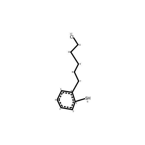 Sc1ccccc1CCCCCCl